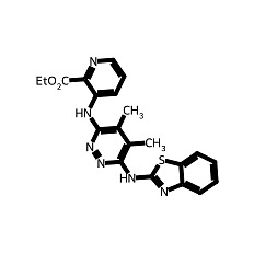 CCOC(=O)c1ncccc1Nc1nnc(Nc2nc3ccccc3s2)c(C)c1C